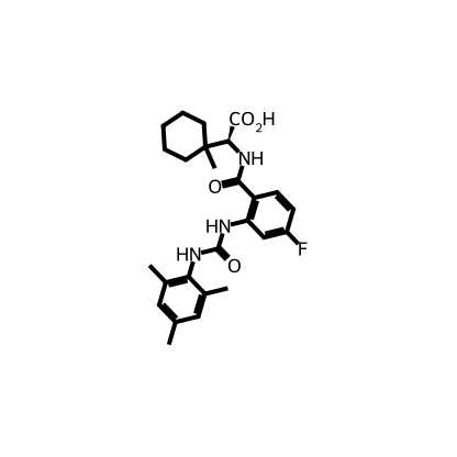 Cc1cc(C)c(NC(=O)Nc2cc(F)ccc2C(=O)N[C@H](C(=O)O)C2(C)CCCCC2)c(C)c1